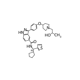 CC(O)CN1CCC(Oc2ccc(-c3n[nH]c4ccc(C(=O)N[C@@H](c5ccsc5)C5CCCC5)cc34)cc2)CC1